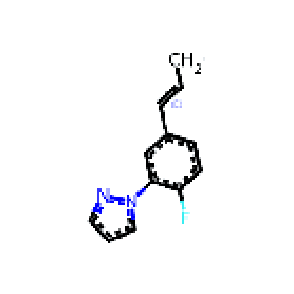 [CH2]/C=C/c1ccc(F)c(-n2cccn2)c1